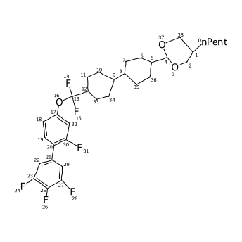 CCCCCC1COC(C2CCC(C3CCC(C(F)(F)Oc4ccc(-c5cc(F)c(F)c(F)c5)c(F)c4)CC3)CC2)OC1